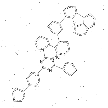 N#Cc1cccc(-c2cccc(-c3cccc4c3-c3cccc5cccc-4c35)c2)c1-c1ccccc1-c1nc(-c2ccccc2)nc(-c2ccc(-c3ccccc3)cc2)n1